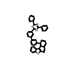 c1ccc(-c2nc(-c3ccccc3)nc(-c3cccc(-c4cccc(-c5cccc6ccc7oc8ccccc8c7c56)c4)c3)n2)cc1